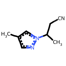 Cc1cnn(C(C)CC#N)c1